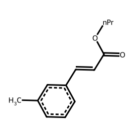 CCCOC(=O)C=Cc1cccc(C)c1